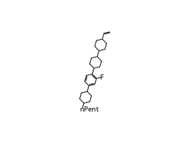 C=CC1CCC(C2CCC(c3ccc(C4CCC(CCCCC)CC4)cc3F)CC2)CC1